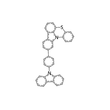 c1ccc2c(c1)Sc1cccc3c4ccc(-c5ccc(-n6c7ccccc7c7ccccc76)cc5)cc4n-2c13